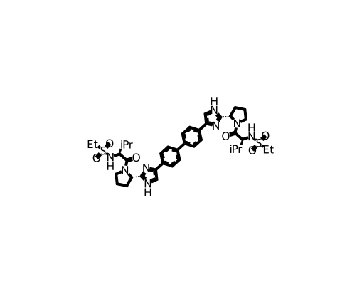 CCS(=O)(=O)N[C@H](C(=O)N1CCC[C@H]1c1nc(-c2ccc(-c3ccc(-c4c[nH]c([C@@H]5CCCN5C(=O)[C@@H](NS(=O)(=O)CC)C(C)C)n4)cc3)cc2)c[nH]1)C(C)C